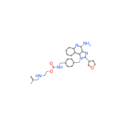 C=C(C)CNCCOC(=O)NCc1ccc(Cn2c(-c3ccoc3)nc3c(N)nc4ccccc4c32)cc1